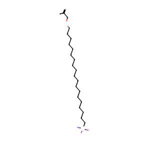 C=C(C)COCCCCCCCCCCCCCCCCCCC[Si](I)(I)I